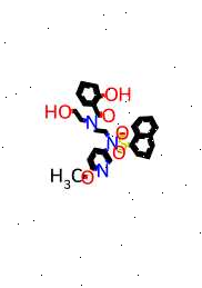 COc1ccc(N(CCN(CCO)C(=O)c2ccccc2O)S(=O)(=O)c2cccc3ccccc23)cn1